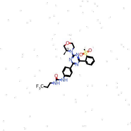 C[C@H]1COCCN1c1nc(-c2ccc(NC(=O)NCCC(F)(F)F)cc2)nc(-c2ccccc2S(C)(=O)=O)n1